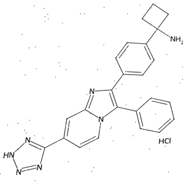 Cl.NC1(c2ccc(-c3nc4cc(-c5nn[nH]n5)ccn4c3-c3ccccc3)cc2)CCC1